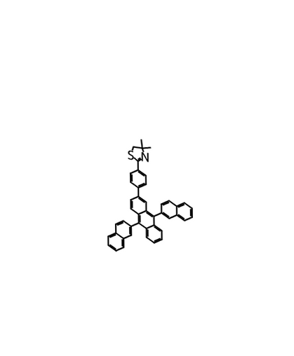 CC1(C)CSC(c2ccc(-c3ccc4c(-c5ccc6ccccc6c5)c5ccccc5c(-c5ccc6ccccc6c5)c4c3)cc2)=N1